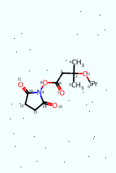 CC(C)OC(C)(C)CC(=O)ON1C(=O)CCC1=O